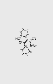 N#Cc1c(-c2ccccc2O)[n+]([O-])c2ccccc2[n+]1[O-]